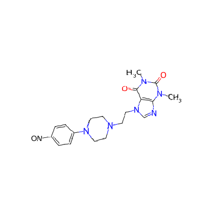 Cn1c(=O)c2c(ncn2CCN2CCN(c3ccc(N=O)cc3)CC2)n(C)c1=O